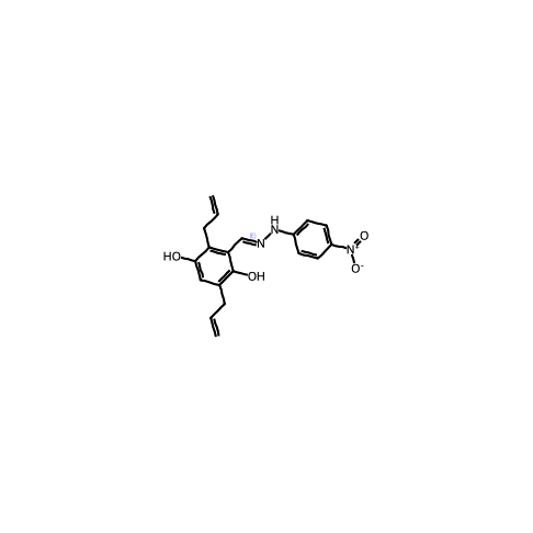 C=CCc1cc(O)c(CC=C)c(/C=N/Nc2ccc([N+](=O)[O-])cc2)c1O